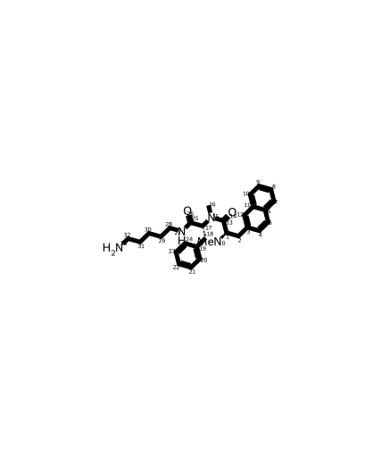 CN[C@H](Cc1ccc2ccccc2c1)C(=O)N(C)[C@H](Cc1ccccc1)C(=O)NCCCCCN